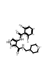 O=C(NCC1CCOCC1)c1n[nH]cc1NC(=O)c1c(F)cccc1F